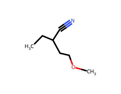 CC[C](C#N)CCOC